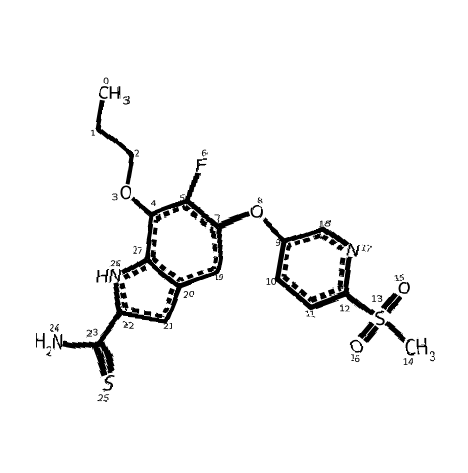 CCCOc1c(F)c(Oc2ccc(S(C)(=O)=O)nc2)cc2cc(C(N)=S)[nH]c12